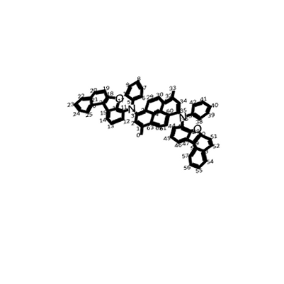 Cc1cc(N(c2ccccc2)c2cccc3c2oc2ccc4ccccc4c23)c2ccc3c(C)cc(N(c4ccccc4)c4cccc5c4oc4ccc6ccccc6c45)c4ccc1c2c34